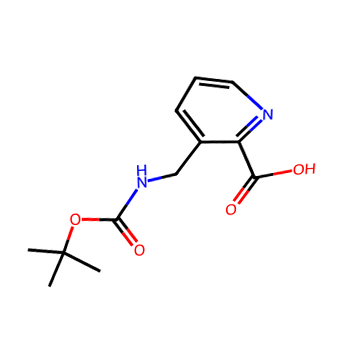 CC(C)(C)OC(=O)NCc1cccnc1C(=O)O